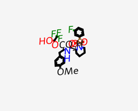 COc1ccc(C[C@H](NC(=O)[C@@H]2CCCCN2S(=O)(=O)c2cccc(F)c2)C(=O)O)cc1.O=C(O)C(F)(F)F